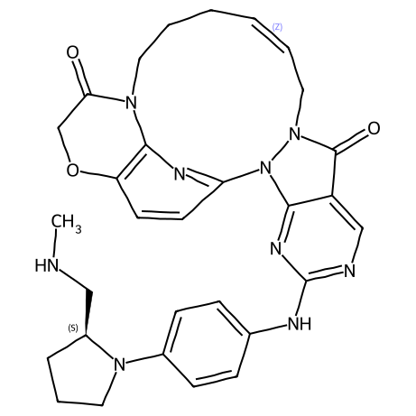 CNC[C@@H]1CCCN1c1ccc(Nc2ncc3c(=O)n4n(c3n2)-c2ccc3c(n2)N(CCC/C=C\C4)C(=O)CO3)cc1